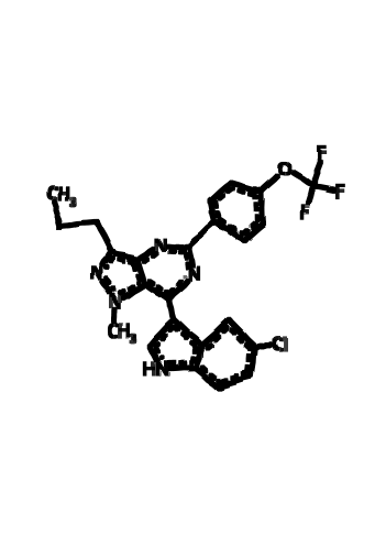 CCCc1nn(C)c2c(-c3c[nH]c4ccc(Cl)cc34)nc(-c3ccc(OC(F)(F)F)cc3)nc12